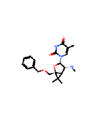 CN[C@@H]1C2C(C)(C)[C@]2(COCc2ccccc2)O[C@H]1n1cc(C)c(=O)[nH]c1=O